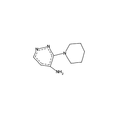 Nc1ccnnc1N1CCCCC1